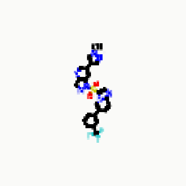 Cn1cc(-c2cnc3cnn(S(=O)(=O)c4cnc5ccc(-c6cccc(C(F)(F)F)c6)cn45)c3c2)cn1